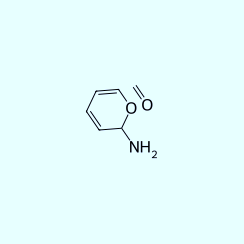 C=O.NC1C=CC=CO1